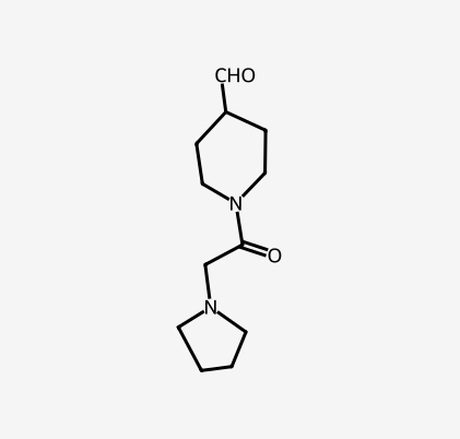 O=CC1CCN(C(=O)CN2CCCC2)CC1